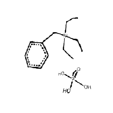 CC[N+](CC)(CC)Cc1ccccc1.O=P(O)(O)O